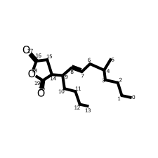 CCCCC(C)CC=CC(CCCC)C1CC(=O)OC1=O